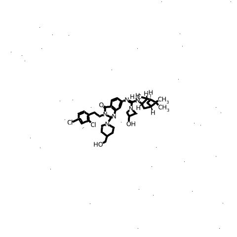 C[C@H]1[C@@H](NC(=Nc2ccc3c(=O)n(CCc4ccc(Cl)cc4Cl)c(N4CCC(CO)CC4)nc3c2)N2CC(O)C2)C[C@@H]2C[C@@H]1C2(C)C